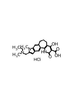 CCN(C)Cc1cc2cc3c(cc2n1C)CCCc1c-3[nH]c(=O)c(C(=O)O)c1O.Cl